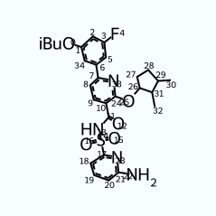 CC(C)COc1cc(F)cc(-c2ccc(C(=O)NS(=O)(=O)c3cccc(N)n3)c(OC3CCC(C)C3C)n2)c1